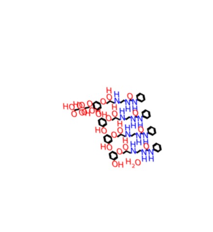 O.O=C(NCCNCC(O)COc1cccc(O)c1)Nc1ccccc1.O=C(NCCNCC(O)COc1cccc(O)c1)Nc1ccccc1.O=C(NCCNCC(O)COc1cccc(O)c1)Nc1ccccc1.O=C(NCCNCC(O)COc1cccc(O)c1)Nc1ccccc1.O=C(O)C(=O)O.O=C(O)C(=O)O